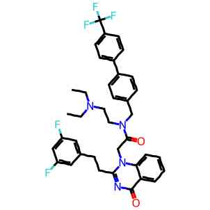 CCN(CC)CCN(Cc1ccc(-c2ccc(C(F)(F)F)cc2)cc1)C(=O)Cn1c(CCc2cc(F)cc(F)c2)nc(=O)c2ccccc21